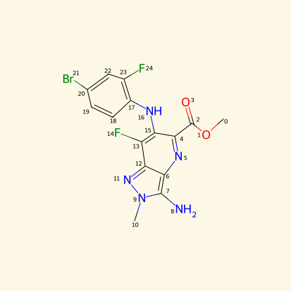 COC(=O)c1nc2c(N)n(C)nc2c(F)c1Nc1ccc(Br)cc1F